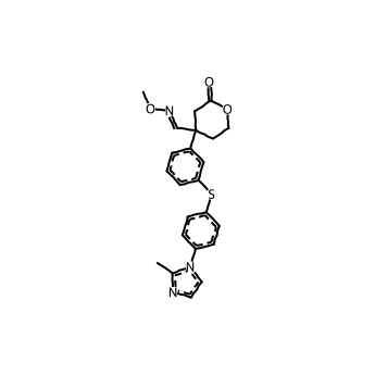 CON=CC1(c2cccc(Sc3ccc(-n4ccnc4C)cc3)c2)CCOC(=O)C1